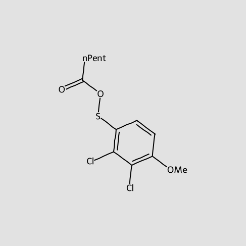 CCCCCC(=O)OSc1ccc(OC)c(Cl)c1Cl